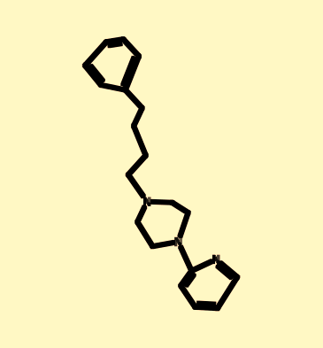 c1ccc(CCCCN2CCN(c3ccccn3)CC2)cc1